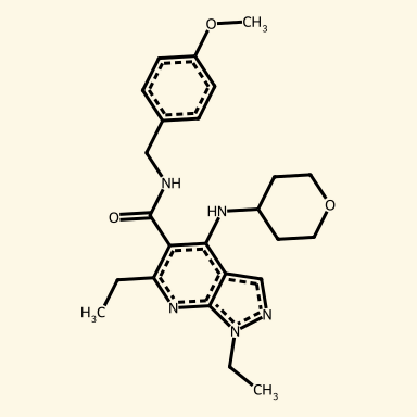 CCc1nc2c(cnn2CC)c(NC2CCOCC2)c1C(=O)NCc1ccc(OC)cc1